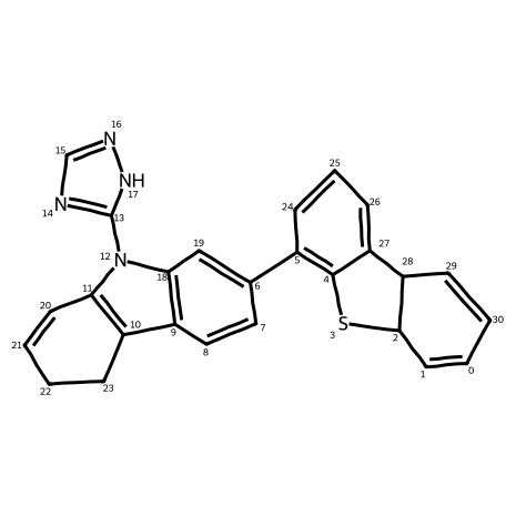 C1=CC2Sc3c(-c4ccc5c6c(n(-c7ncn[nH]7)c5c4)C=CCC6)cccc3C2C=C1